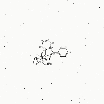 CC(C)(C)[NH][Ti]([CH3])([CH3])([SiH3])([Cl])([Cl])[CH]1C=C(c2ccccc2)c2ccccc21